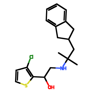 CC(C)(CC1Cc2ccccc2C1)NCC(O)c1sccc1Cl